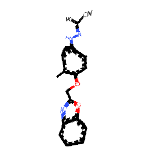 Cc1cc(NN=C(C#N)C#N)ccc1OCc1nc2ccccc2o1